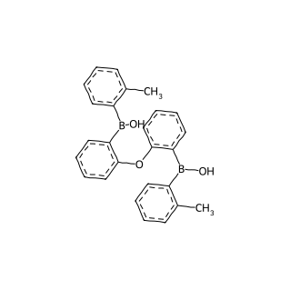 Cc1ccccc1B(O)c1ccccc1Oc1ccccc1B(O)c1ccccc1C